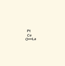 [Ce].[O]=[La].[Pt]